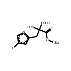 CC(C)(C)OC(=O)C(N)(Cc1cc(F)cs1)C(=O)O